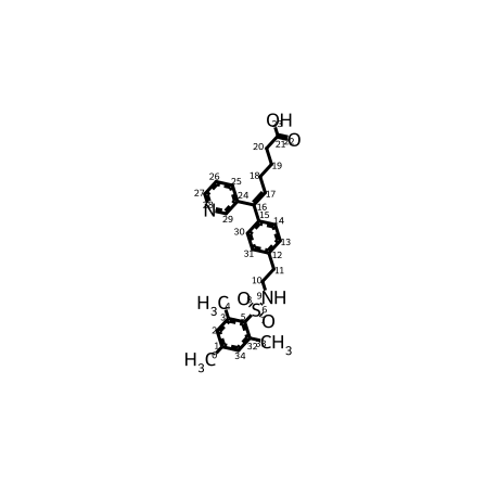 Cc1cc(C)c(S(=O)(=O)NCCc2ccc(C(=CCCCC(=O)O)c3cccnc3)cc2)c(C)c1